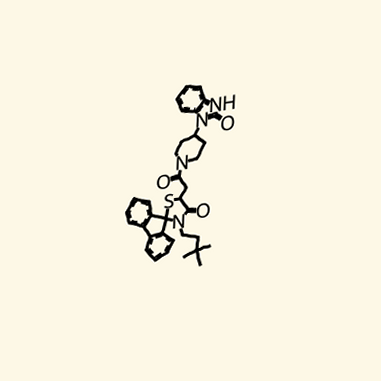 CC(C)(C)CCN1C(=O)C(CC(=O)N2CCC(n3c(=O)[nH]c4ccccc43)CC2)SC12c1ccccc1-c1ccccc12